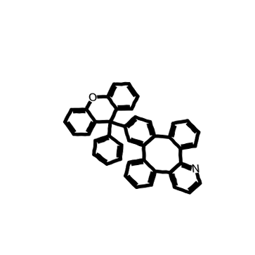 c1ccc(C2(c3ccc4c(c3)-c3ccccc3-c3cccnc3-c3ccccc3-4)c3ccccc3Oc3ccccc32)cc1